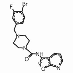 O=C(Nc1noc2ncccc12)N1CCN(Cc2ccc(Br)c(F)c2)CC1